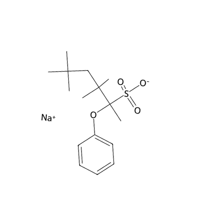 CC(C)(C)CC(C)(C)C(C)(Oc1ccccc1)S(=O)(=O)[O-].[Na+]